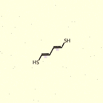 S/C=C/C=C/S